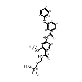 COc1cc(NC(=O)c2cccc(Oc3ccccc3)c2)ccc1C(=O)NCCCN(C)C